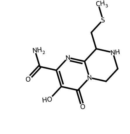 CSCC1NCCn2c1nc(C(N)=O)c(O)c2=O